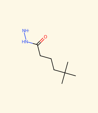 CC(C)(C)CCCC(=O)N[NH]